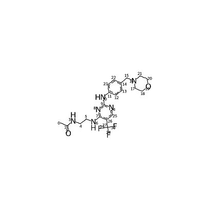 CC(=O)NCCNc1nc(Nc2ccc(CN3CCOCC3)cc2)ncc1C(F)(F)F